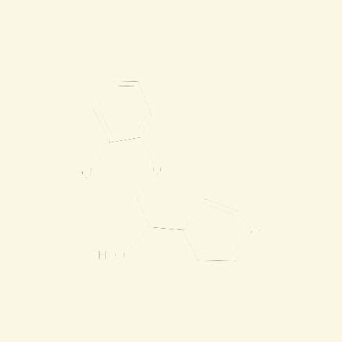 O=C(O)C(COc1ccccc1Cl)c1ccccc1